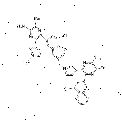 CCc1nc(-c2cc(Cl)c3ncccc3c2)c(-c2ccn(Cc3cnc4c(Cl)cc(-c5nc(C(C)(C)C)c(N)nc5-c5ccn(C)n5)cc4c3)n2)nc1N